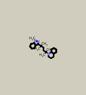 Cn1nc(C(C)(C)CCC(C)(C)N2CCCc3ccccc32)c2ccccc21